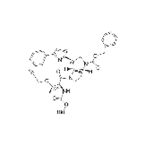 C#CCO[C@H](C)[C@H](NC(=O)OC(C)(C)C)C(=O)N1CC[C@@H]2[C@H]1[C@@H](c1nc(-c3ccccc3)cs1)CN2C(=O)OCc1ccccc1